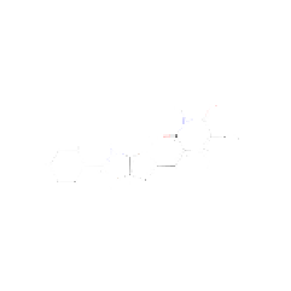 CCN1C(=O)C(C#N)=C(C)/C(=C/c2cc3sc(C4CCCCC4)nc3s2)C1=O